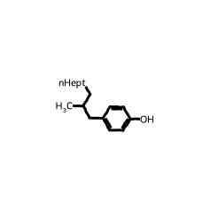 CCCCCCCCC(C)Cc1ccc(O)cc1